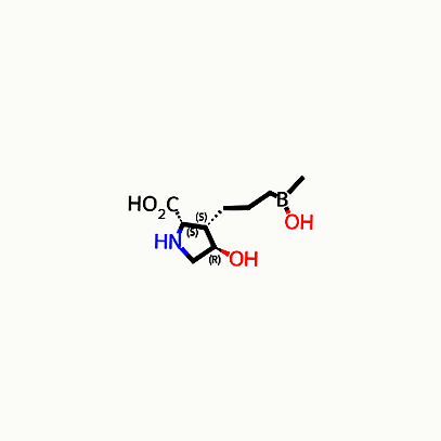 CB(O)CCC[C@H]1[C@@H](C(=O)O)NC[C@@H]1O